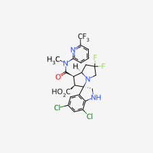 CN(C(=O)[C@H]1[C@H]2CC(F)(F)CN2[C@]2(CNc3c(Cl)cc(Cl)cc32)[C@H]1C(=O)O)c1cccc(C(F)(F)F)n1